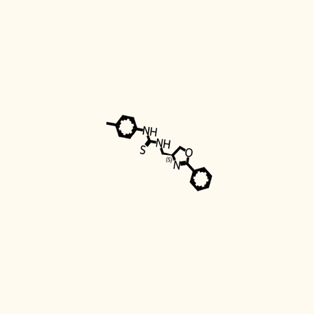 Cc1ccc(NC(=S)NC[C@H]2COC(c3ccccc3)=N2)cc1